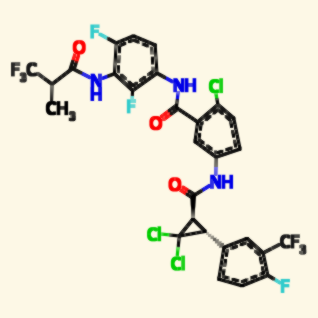 CC(C(=O)Nc1c(F)ccc(NC(=O)c2cc(NC(=O)[C@H]3[C@H](c4ccc(F)c(C(F)(F)F)c4)C3(Cl)Cl)ccc2Cl)c1F)C(F)(F)F